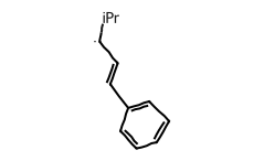 CC(C)[CH]C=Cc1ccccc1